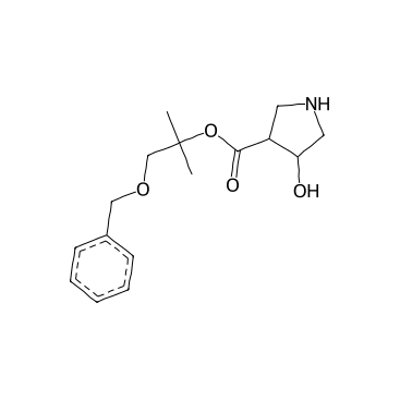 CC(C)(COCc1ccccc1)OC(=O)C1CNCC1O